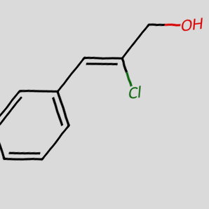 OCC(Cl)=Cc1ccccc1